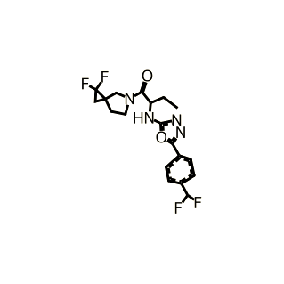 CCC(Nc1nnc(-c2ccc(C(F)F)cc2)o1)C(=O)N1CCC2(C1)CC2(F)F